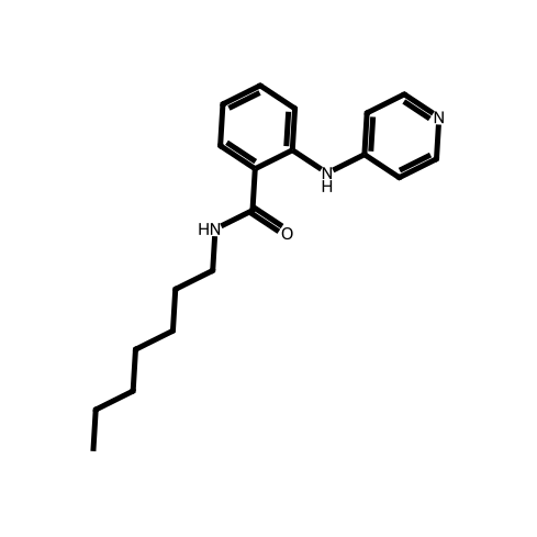 CCCCCCCNC(=O)c1ccccc1Nc1ccncc1